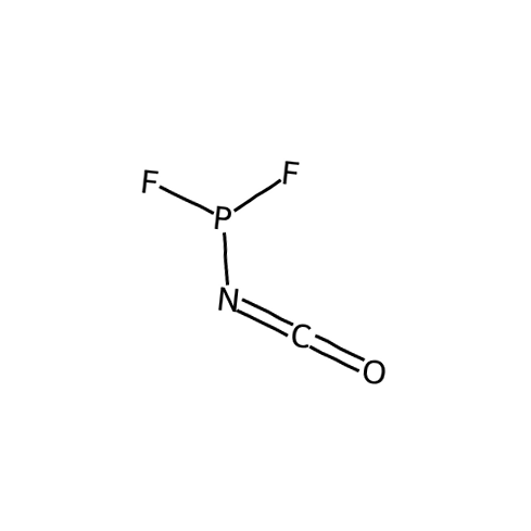 O=C=NP(F)F